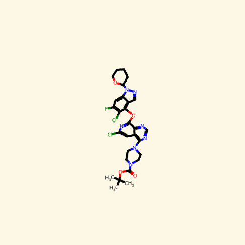 CC(C)(C)OC(=O)N1CCN(c2ncnc3c(Oc4c(Cl)c(F)cc5c4cnn5C4CCCCO4)nc(Cl)cc23)CC1